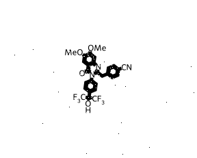 COc1cc2nc(Cc3ccc(C#N)cc3)n(-c3ccc(C(O)(C(F)(F)F)C(F)(F)F)cc3)c(=O)c2cc1OC